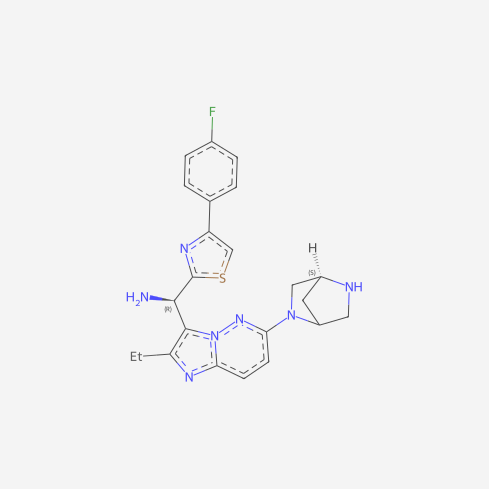 CCc1nc2ccc(N3C[C@@H]4CC3CN4)nn2c1[C@@H](N)c1nc(-c2ccc(F)cc2)cs1